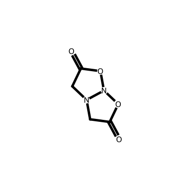 O=C1CN2CC(=O)ON2O1